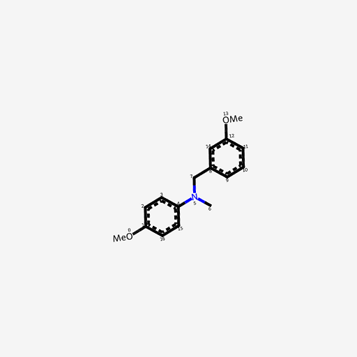 COc1ccc(N(C)Cc2cccc(OC)c2)cc1